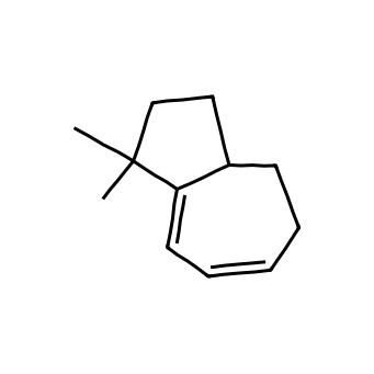 CC1(C)CCC2CCC=CC=C21